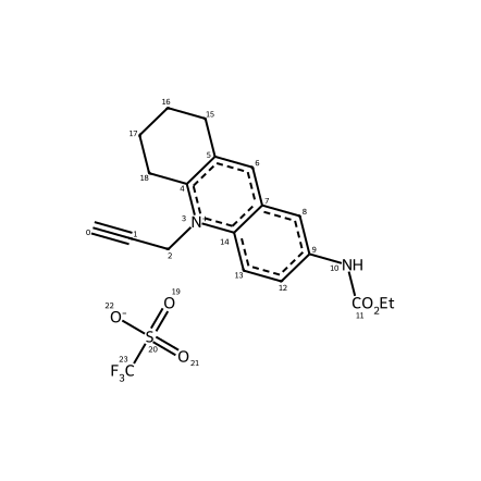 C#CC[n+]1c2c(cc3cc(NC(=O)OCC)ccc31)CCCC2.O=S(=O)([O-])C(F)(F)F